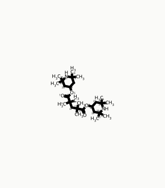 CC1(C)CC(OC(=O)C(C)(C)CC(C)(C)C(=O)OC2CC(C)(C)NC(C)(C)C2)CC(C)(C)N1